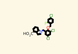 O=C(O)c1cccc2c1ccn2Cc1cc(Cl)cc(Cl)c1OCc1ccc(Cl)cc1F